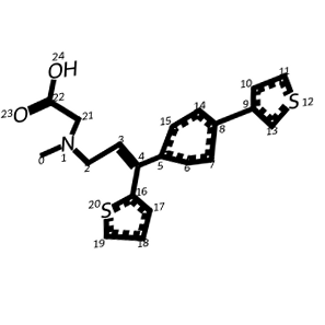 CN(CC=C(c1ccc(-c2ccsc2)cc1)c1cccs1)CC(=O)O